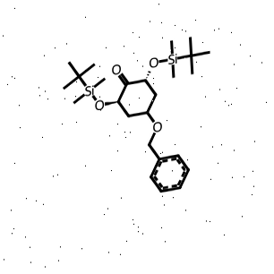 CC(C)(C)[Si](C)(C)O[C@@H]1CC(OCc2ccccc2)C[C@@H](O[Si](C)(C)C(C)(C)C)C1=O